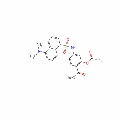 COC(=O)c1ccc(NS(=O)(=O)c2cccc3c(N(C)C)cccc23)cc1OC(=O)C(F)(F)F